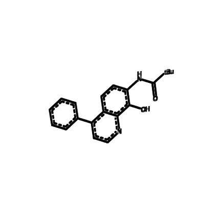 CC(C)(C)C(=O)Nc1ccc2c(-c3ccccc3)ccnc2c1O